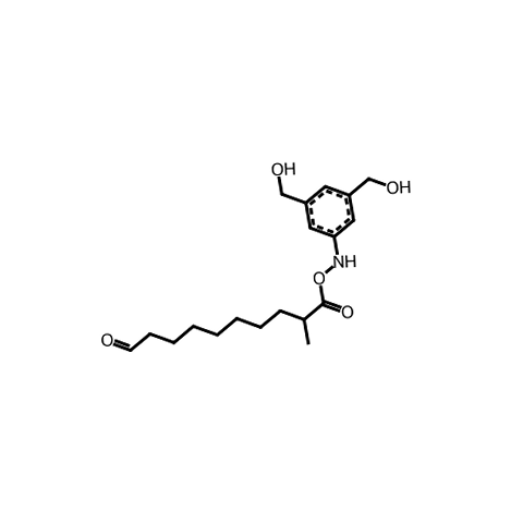 CC(CCCCCCCC=O)C(=O)ONc1cc(CO)cc(CO)c1